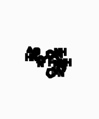 O=C(Nc1cncc(-c2ccc3[nH]nc(-c4nc5c(N6CCCCC6)nccc5[nH]4)c3c2F)c1)C1CC1